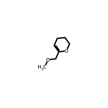 COCC1=CCCCO1